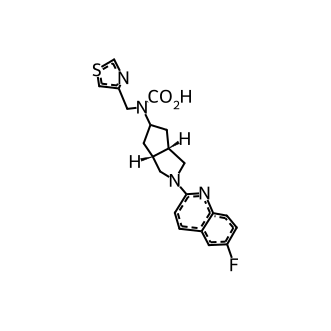 O=C(O)N(Cc1cscn1)C1C[C@@H]2CN(c3ccc4cc(F)ccc4n3)C[C@@H]2C1